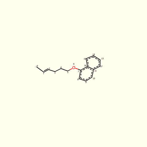 [CH2]C=CCCCOc1cccc2ccccc12